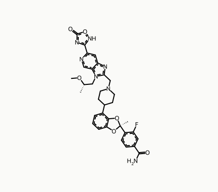 CO[C@@H](C)Cn1c(CN2CCC(c3cccc4c3O[C@@](C)(c3ccc(C(N)=O)cc3F)O4)CC2)nc2cc(-c3nc(=O)o[nH]3)ncc21